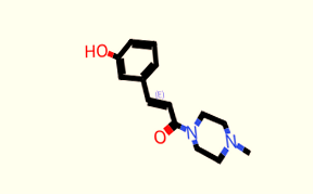 CN1CCN(C(=O)/C=C/c2cccc(O)c2)CC1